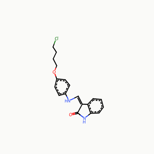 O=C1Nc2ccccc2C1=CNc1ccc(OCCCCCl)cc1